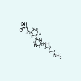 NCCCCNc1cncc(-c2cccc(C=CC(=O)O)c2)n1